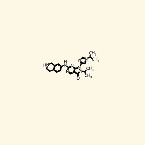 CC(C)n1cnc(-n2c3nc(Nc4ccc5c(c4)CNCC5)ncc3c(=O)n2C(C)C)c1